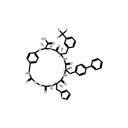 O=C1CCC(=O)N[C@H](Cc2cccs2)C(=O)N[C@@H](Cc2ccc(-c3ccccc3)cc2)C(=O)N[C@H](Cc2cccc(C(F)(F)F)c2)C(=O)N[C@H](C(=O)O)Cc2ccc(cc2)N1